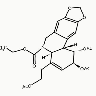 CC(=O)OCCC1=C[C@H](OC(C)=O)[C@@H](OC(C)=O)[C@H]2c3cc4c(cc3CN(C(=O)OCC(Cl)(Cl)Cl)[C@H]12)OCO4